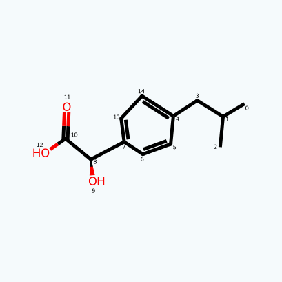 CC(C)Cc1ccc([C@@H](O)C(=O)O)cc1